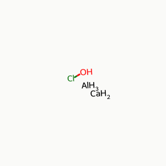 OCl.[AlH3].[CaH2]